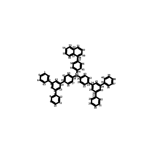 c1ccc(-c2cc(-c3ccccc3)cc(-c3ccc(N(c4ccc(-c5cc(-c6ccccc6)cc(-c6ccccc6)c5)cc4)c4ccc(-c5cccc6ccccc56)cc4)cc3)c2)cc1